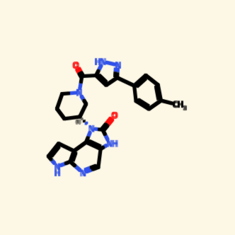 Cc1ccc(-c2cc(C(=O)N3CCC[C@@H](n4c(=O)[nH]c5cnc6[nH]ccc6c54)C3)[nH]n2)cc1